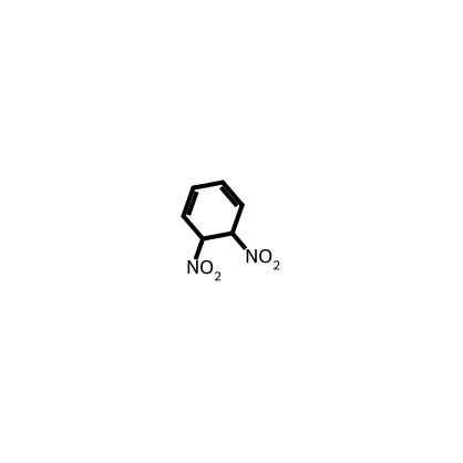 O=[N+]([O-])[C]1C=CC=CC1[N+](=O)[O-]